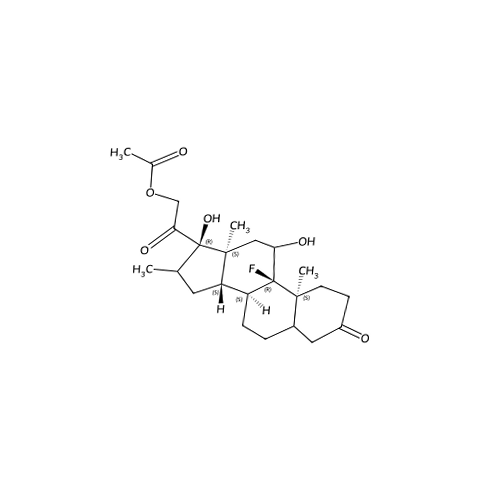 CC(=O)OCC(=O)[C@@]1(O)C(C)C[C@H]2[C@@H]3CCC4CC(=O)CC[C@]4(C)[C@@]3(F)C(O)C[C@@]21C